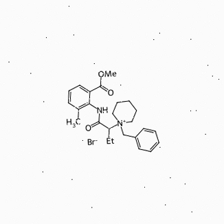 CCC(C(=O)Nc1c(C)cccc1C(=O)OC)[N+]1(Cc2ccccc2)CCCCC1.[Br-]